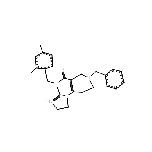 O=C1C2=C(CCN(Cc3ccccc3)C2)N2CCN=C2N1Cc1ccc(F)cc1F